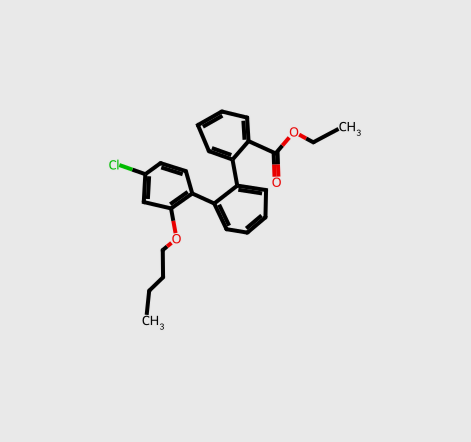 CCCCOc1cc(Cl)ccc1-c1ccccc1-c1ccccc1C(=O)OCC